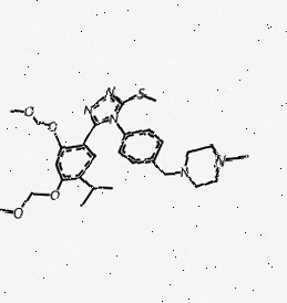 COCOc1cc(OCOC)c(C(C)C)cc1-c1nnc(SC)n1-c1ccc(CN2CCN(C)CC2)cc1